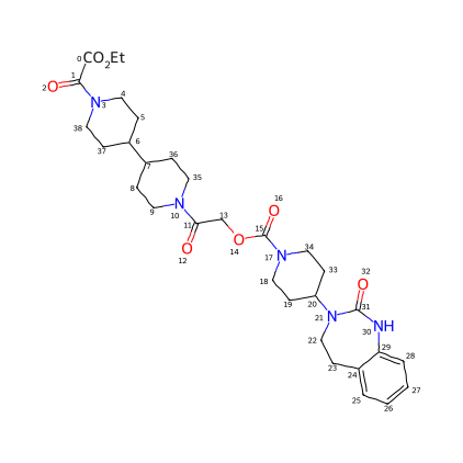 CCOC(=O)C(=O)N1CCC(C2CCN(C(=O)COC(=O)N3CCC(N4CCc5ccccc5NC4=O)CC3)CC2)CC1